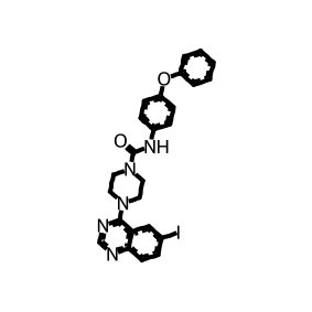 O=C(Nc1ccc(Oc2ccccc2)cc1)N1CCN(c2ncnc3ccc(I)cc23)CC1